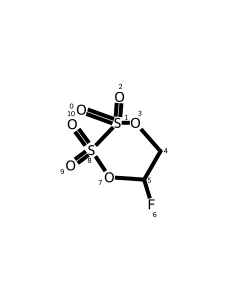 O=S1(=O)OCC(F)OS1(=O)=O